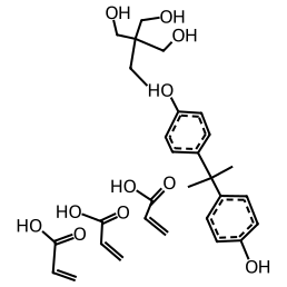 C=CC(=O)O.C=CC(=O)O.C=CC(=O)O.CC(C)(c1ccc(O)cc1)c1ccc(O)cc1.CCC(CO)(CO)CO